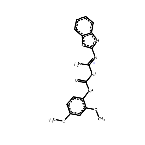 COc1ccc(NC(=O)N/C(N)=N/c2nc3ccccc3s2)c(OC)c1